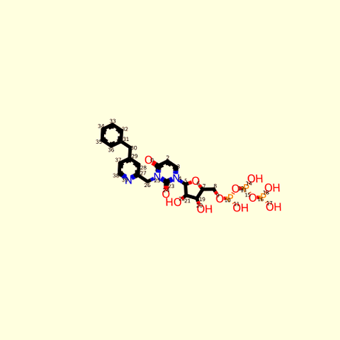 O=c1ccn(C2OC(COP(O)OP(O)OP(O)O)C(O)C2O)c(=O)n1Cc1cc(Cc2ccccc2)ccn1